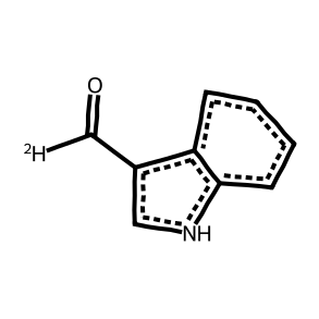 [2H]C(=O)c1c[nH]c2ccccc12